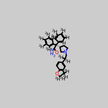 [2H]c1c([2H])c([2H])c(C(C(N)=O)(c2c([2H])c([2H])c([2H])c([2H])c2[2H])[C@@H]2CCN(CC([2H])([2H])c3ccc4c(c3)C([2H])([2H])C([2H])([2H])O4)C2)c([2H])c1[2H]